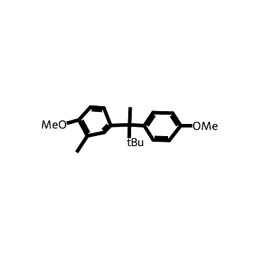 COc1ccc(C(C)(c2ccc(OC)c(C)c2)C(C)(C)C)cc1